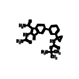 CC(C)(C)OC(=O)NC1(c2cccc(-c3ccc4c(C(N)=O)c(NC(N)=O)[nH]c4c3)c2)CC1